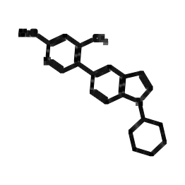 COc1cc(C)c(-c2ccc3c(ccn3C3CCCCC3)c2)cn1